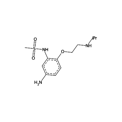 CC(C)NCCOc1ccc(N)cc1NS(C)(=O)=O